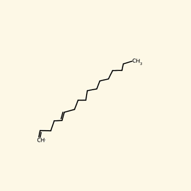 [CH]=CCCC=CCCCCCCCCCCC